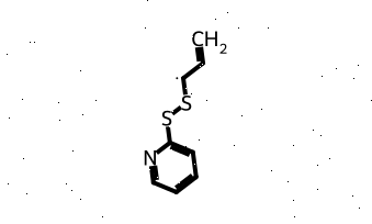 C=C[CH]SSc1ccccn1